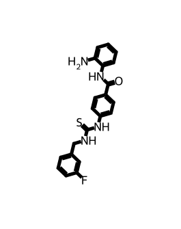 Nc1ccccc1NC(=O)c1ccc(NC(=S)NCc2cccc(F)c2)cc1